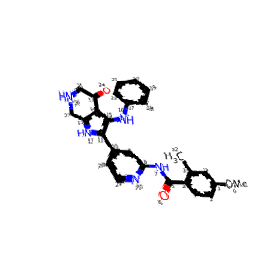 COc1ccc(C(=O)Nc2cc(-c3[nH]c4c(c3Nc3ccccc3)C(=O)CNC4)ccn2)c(C)c1